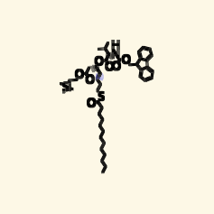 CCCCCCCCCCCCC(=O)SCC/C=C/[C@H](CC(=O)OCC[Si](C)(C)C)OC(=O)[C@@H](NC(=O)OCC1c2ccccc2-c2ccccc21)C(C)C